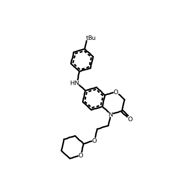 CC(C)(C)c1ccc(Nc2ccc3c(c2)OCC(=O)N3CCOC2CCCCO2)cc1